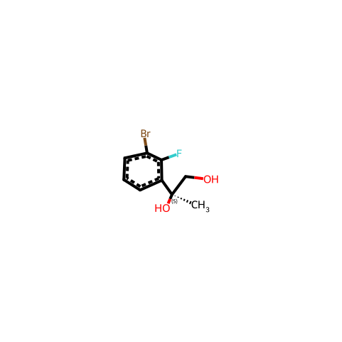 C[C@@](O)(CO)c1cccc(Br)c1F